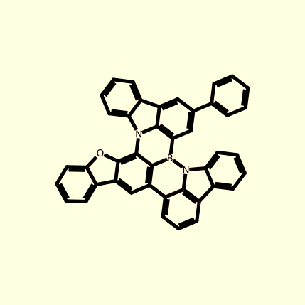 c1ccc(-c2cc3c4c(c2)c2ccccc2n4-c2c4c(cc5c2oc2ccccc25)-c2cccc5c6ccccc6n(c25)B43)cc1